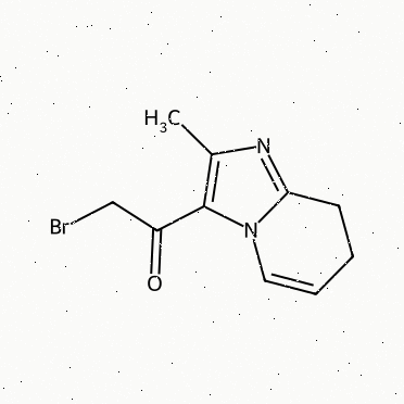 Cc1nc2n(c1C(=O)CBr)C=CCC2